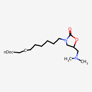 CCCCCCCCCCCCCCCCCCN1CC(CN(C)C)OC1=O